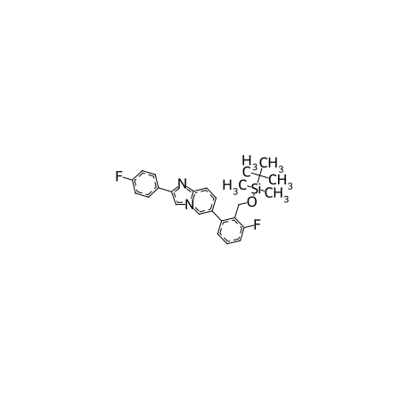 CC(C)(C)[Si](C)(C)OCc1c(F)cccc1-c1ccc2nc(-c3ccc(F)cc3)cn2c1